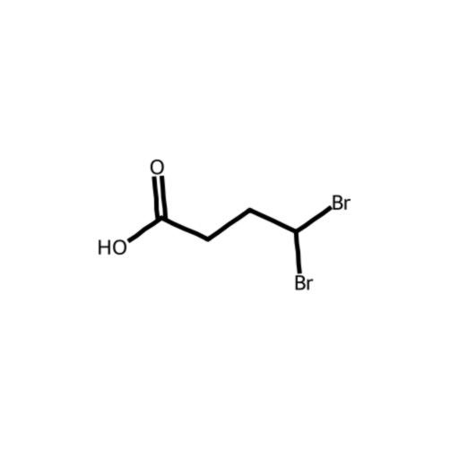 O=C(O)CCC(Br)Br